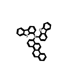 c1ccc2c(c1)ccc1c3cccc(N(c4cccc5c4oc4ccccc45)c4cccc5c4sc4ccccc45)c3ccc21